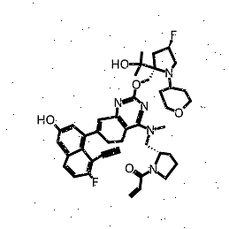 C#Cc1c(F)ccc2cc(O)cc(C3=Cc4nc(OC[C@]5(C(C)(C)O)C[C@@H](F)CN5C5CCOCC5)nc(N(C)C[C@@H]5CCCN5C(=O)C=C)c4CC3)c12